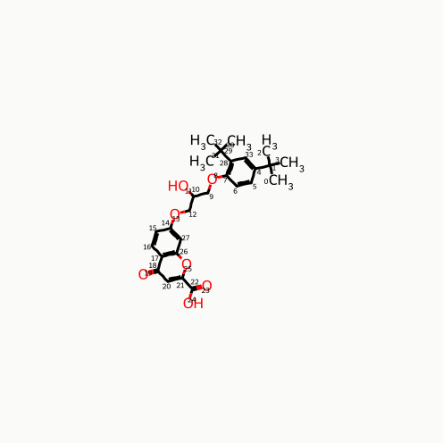 CC(C)(C)c1ccc(OCC(O)COc2ccc3c(=O)cc(C(=O)O)oc3c2)c(C(C)(C)C)c1